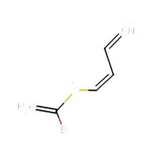 C=C/C=C\SC(=C)Br